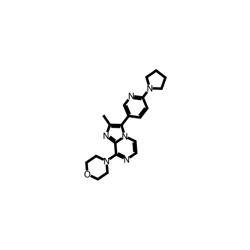 Cc1nc2c(N3CCOCC3)nccn2c1-c1ccc(N2CCCC2)nc1